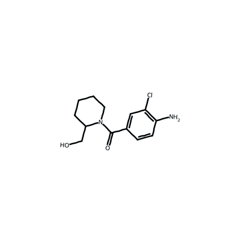 Nc1ccc(C(=O)N2CCCCC2CO)cc1Cl